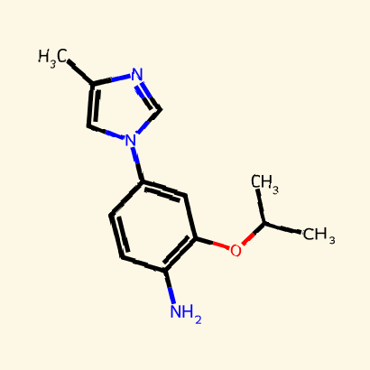 Cc1cn(-c2ccc(N)c(OC(C)C)c2)cn1